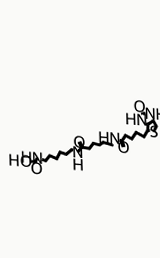 O=C(O)NCCCCCCNC(=O)CCCCCNC(=O)CCCCC1SCC2NC(=O)NC21